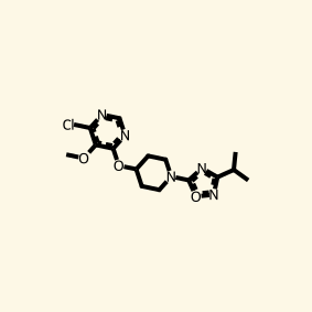 COc1c(Cl)ncnc1OC1CCN(c2nc(C(C)C)no2)CC1